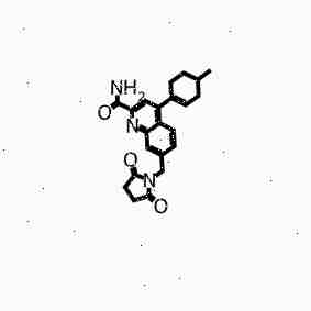 CC1CC=C(c2cc(C(N)=O)nc3cc(CN4C(=O)CCC4=O)ccc23)CC1